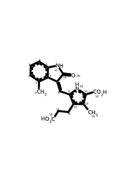 Cc1cccc2c1/C(=C/c1[nH]c(C(=O)O)c(C)c1CCC(=O)O)C(=O)N2